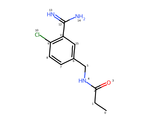 CCC(=O)NCc1ccc(Cl)c(C(=N)N)c1